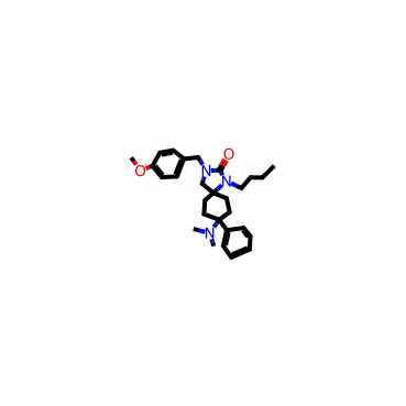 CCCCN1C(=O)N(Cc2ccc(OC)cc2)CC12CCC(c1ccccc1)(N(C)C)CC2